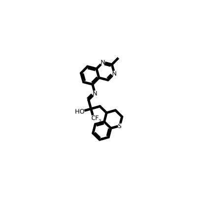 Cc1ncc2c(N=CC(O)(CC3CCSc4ccccc43)C(F)(F)F)cccc2n1